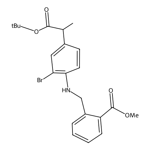 COC(=O)c1ccccc1CNc1ccc(C(C)C(=O)OC(C)(C)C)cc1Br